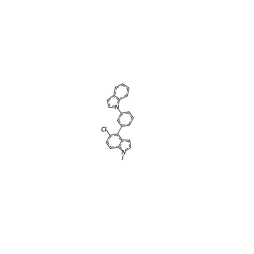 Cn1ccc2c(-c3cccc(-n4ccc5ccccc54)c3)c(Cl)ccc21